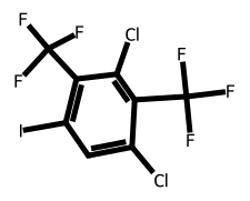 FC(F)(F)c1c(Cl)cc(I)c(C(F)(F)F)c1Cl